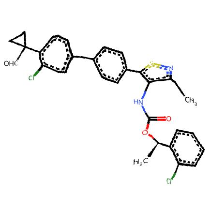 Cc1nsc(-c2ccc(-c3ccc(C4(C=O)CC4)c(Cl)c3)cc2)c1NC(=O)O[C@H](C)c1ccccc1Cl